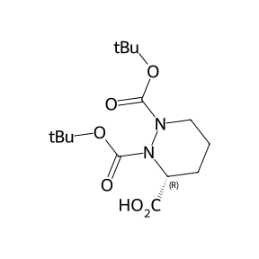 CC(C)(C)OC(=O)N1CCC[C@H](C(=O)O)N1C(=O)OC(C)(C)C